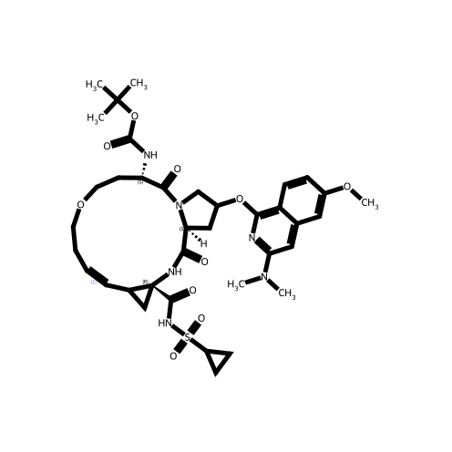 COc1ccc2c(OC3C[C@H]4C(=O)N[C@]5(C(=O)NS(=O)(=O)C6CC6)CC5/C=C\CCOCC[C@H](NC(=O)OC(C)(C)C)C(=O)N4C3)nc(N(C)C)cc2c1